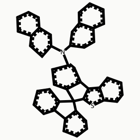 c1ccc2c(c1)-c1ccccc1C21c2ccc(N(c3ccc4ccccc4c3)c3ccc4ccccc4c3)cc2-c2c1sc1ccccc21